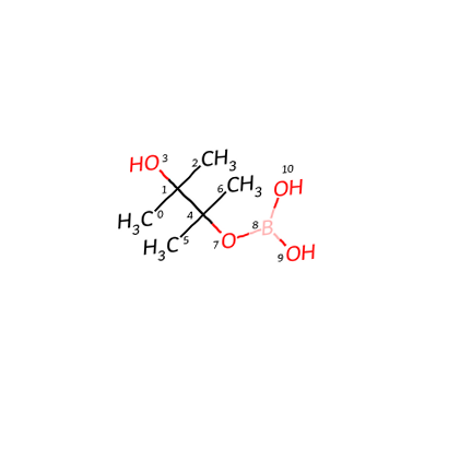 CC(C)(O)C(C)(C)OB(O)O